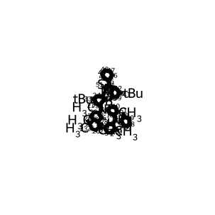 CC1=CCCC=C1N(c1ccc2c(c1)N(C1=CC3=C(CC1C)C(C)(C)CCC3(C)C)c1cc(C(C)(C)C)cc3c1B2c1cc(C(C)(C)C)cc2c4c5ccccc5sc4n-3c12)c1ccccc1C